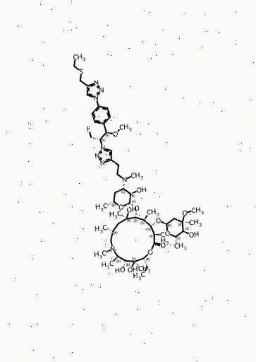 CCSCc1cn(-c2ccc([C@@H](OC)[C@@H](CF)n3cc(CCN(C)[C@H]4C[C@@H](C)O[C@@H](O[C@@H]5[C@@H](C)[C@H](O[C@H]6C[C@@](C)(OC)[C@@H](O)[C@H](C)O6)[C@@H](C)C(=O)O[C@H](CC)[C@@](C)(O)[C@H](O)[C@@H](C)N(C)C[C@H](C)C[C@@]5(C)O)[C@@H]4O)nn3)cc2)nn1